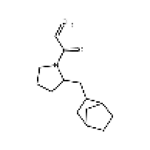 C=CC(=O)N1CCCC1CC1CC2CCC1C2